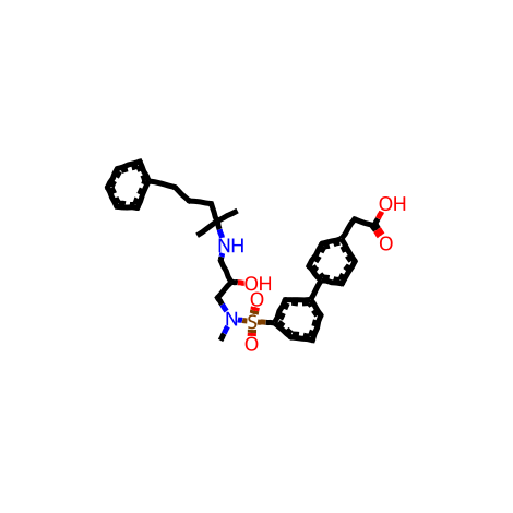 CN(CC(O)CNC(C)(C)CCCc1ccccc1)S(=O)(=O)c1cccc(-c2ccc(CC(=O)O)cc2)c1